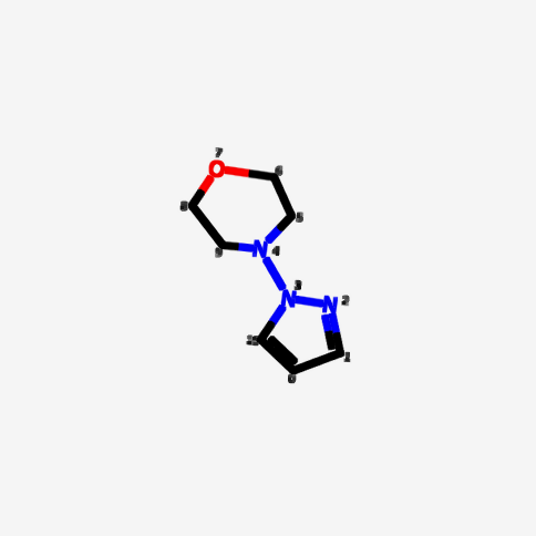 c1cnn(N2CCOCC2)c1